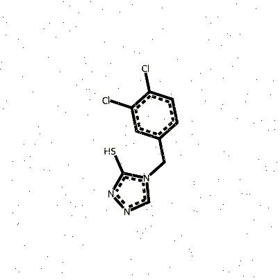 Sc1nncn1Cc1ccc(Cl)c(Cl)c1